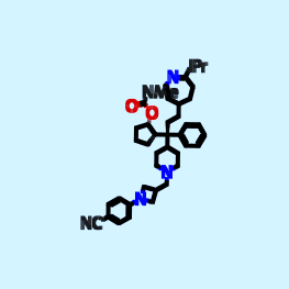 CNC(=O)O[C@H]1CCC[C@@H]1[C@](CCC1C=CN=C(C(C)C)CC1)(c1ccccc1)C1CCN(CC2CN(c3ccc(C#N)cc3)C2)CC1